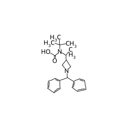 CC(C1CN(C(c2ccccc2)c2ccccc2)C1)N(C(=O)O)C(C)(C)C